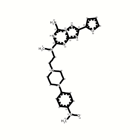 CN(CCN1CCN(c2ccc([S+](C)[O-])cc2)CC1)c1nc(N)n2nc(-c3ccco3)nc2n1